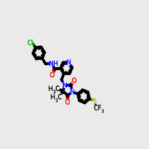 CC1(C)C(=O)N(c2ccc(SC(F)(F)F)cc2)C(=O)N1Cc1ccncc1C(=O)NCc1ccc(Cl)cc1